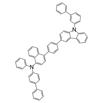 c1ccc(-c2ccc(N(c3ccccc3)c3ccc(-c4ccc(-c5ccc6c(c5)c5ccccc5n6-c5cccc(-c6ccccc6)c5)cc4)c4ccccc34)cc2)cc1